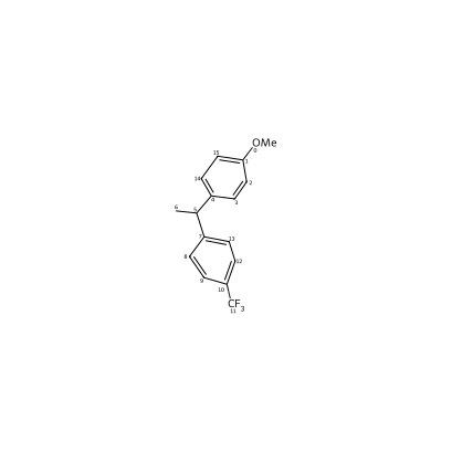 COc1ccc(C(C)c2ccc(C(F)(F)F)cc2)cc1